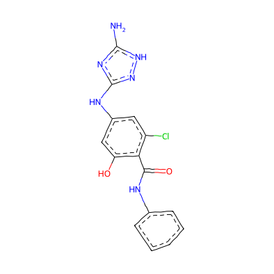 Nc1nc(Nc2cc(O)c(C(=O)Nc3ccccc3)c(Cl)c2)n[nH]1